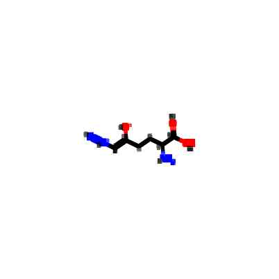 N#[N+]C=C([O-])CCC(N)C(=O)O